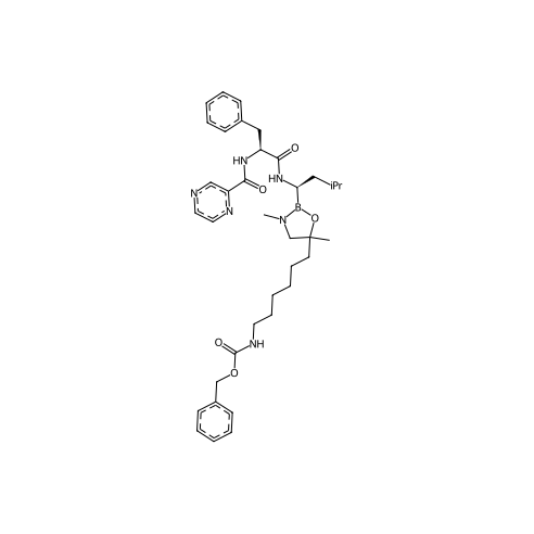 CC(C)C[C@H](NC(=O)[C@H](Cc1ccccc1)NC(=O)c1cnccn1)B1OC(C)(CCCCCCNC(=O)OCc2ccccc2)CN1C